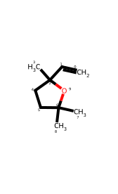 C=CC1(C)CCC(C)(C)O1